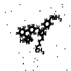 CCCCCc1nc(-c2ccc(CN)cc2)n(Cc2ccc(-c3ccccc3-c3nnn[nH]3)cc2)n1